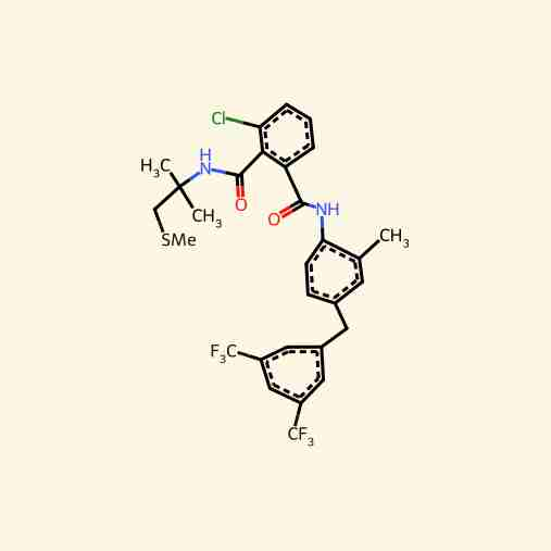 CSCC(C)(C)NC(=O)c1c(Cl)cccc1C(=O)Nc1ccc(Cc2cc(C(F)(F)F)cc(C(F)(F)F)c2)cc1C